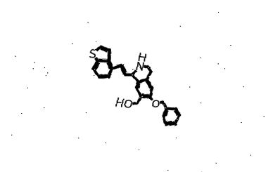 OCc1cc2c(cc1OCc1ccccc1)CCNC2/C=C/c1cccc2sccc12